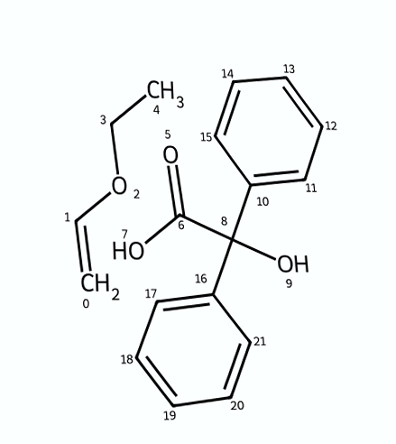 C=COCC.O=C(O)C(O)(c1ccccc1)c1ccccc1